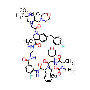 CC1COCCN1CC1CN(C(=O)O)C(C)CN1CC(=O)N1CC(C)(C(=O)NCCNC(=O)c2ccc(F)c(NC(=O)[C@@H]3c4ccccc4CN3C(=O)C(NC(=O)C(C)N(C)C(=O)OC(C)(C)C)C3CCOCC3)c2)c2ccc(Cc3ccc(F)cc3)cc21